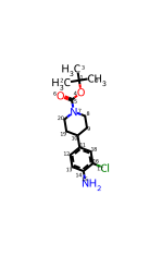 CC(C)(C)OC(=O)N1CCC(c2ccc(N)c(Cl)c2)CC1